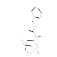 CN(C(=O)OCc1ccccc1)[C@@H]1C[C@@H]2CC[C@@H](C2)C1